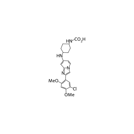 COc1cc(OC)c(-c2cn3ccc(NC4CCC(NC(=O)O)CC4)cc3n2)cc1Cl